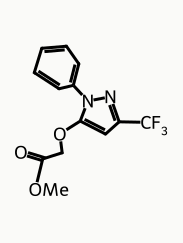 COC(=O)COc1cc(C(F)(F)F)nn1-c1ccccc1